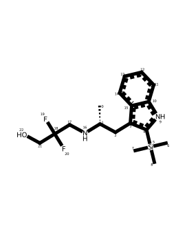 C[C@H](Cc1c([Si](C)(C)C)[nH]c2ccccc12)NCC(F)(F)CO